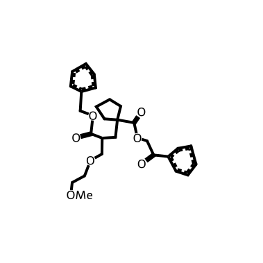 COCCOCC(CC1(C(=O)OCC(=O)c2ccccc2)CCCC1)C(=O)OCc1ccccc1